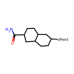 CCCCCC1CCC2CC(C(N)=O)CCC2C1